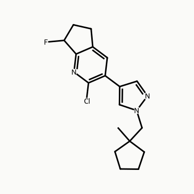 CC1(Cn2cc(-c3cc4c(nc3Cl)C(F)CC4)cn2)CCCC1